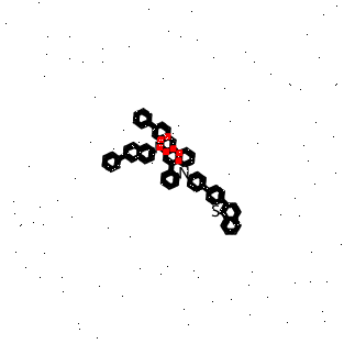 c1ccc(-c2cccc(N(c3cccc(-c4ccccc4N(c4ccc(-c5ccc6c(c5)sc5c7ccccc7ccc65)cc4)c4cccc(-c5ccccc5)c4)c3)c3ccc4cc(-c5ccccc5)ccc4c3)c2)cc1